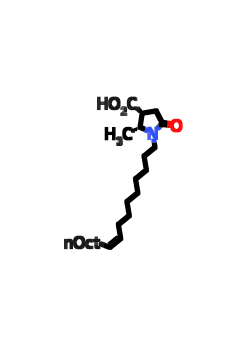 CCCCCCCC/C=C\CCCCCCCCN1C(=O)C[C@H](C(=O)O)[C@H]1C